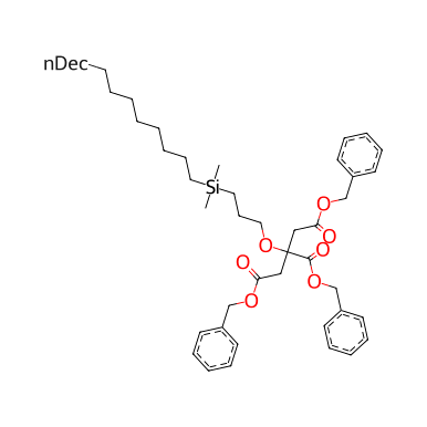 CCCCCCCCCCCCCCCCCC[Si](C)(C)CCCOC(CC(=O)OCc1ccccc1)(CC(=O)OCc1ccccc1)C(=O)OCc1ccccc1